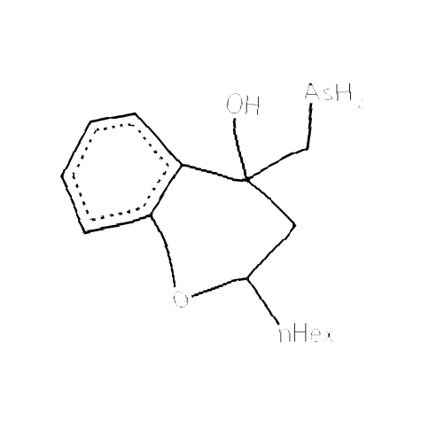 CCCCCCC1CC(O)(C[AsH2])c2ccccc2O1